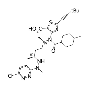 CC1CCC(C(=O)N(c2cc(C#CC(C)(C)C)sc2C(=O)O)[C@H](C)CC[C@H](C)NN(C)c2ccc(Cl)nn2)CC1